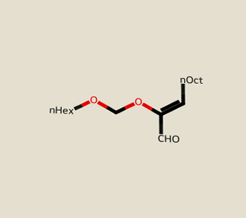 CCCCCCCCC=C(C=O)OCOCCCCCC